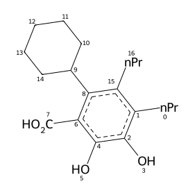 CCCc1c(O)c(O)c(C(=O)O)c(C2CCCCC2)c1CCC